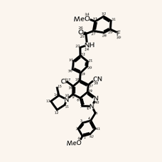 COc1ccc(Cn2cc3c(N4CCCC4C)c(Cl)c(-c4ccc(CNC(=O)c5cc(F)ccc5OC)cc4)c(C#N)c3n2)cc1